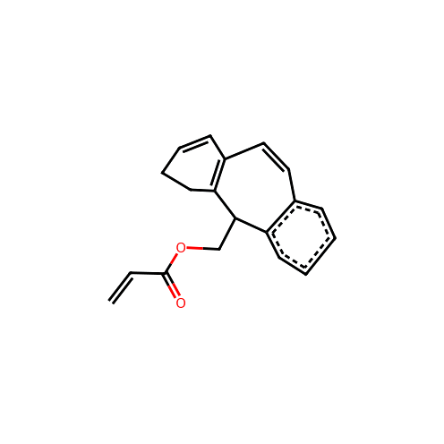 C=CC(=O)OCC1C2=C(C=CCC2)C=Cc2ccccc21